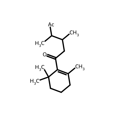 CC(=O)C(C)C(C)CC(=O)C1=C(C)CCCC1(C)C